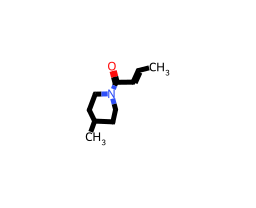 CC=CC(=O)N1CCC(C)CC1